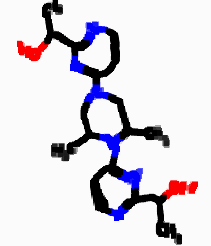 CC(O)c1nccc(N2CC(C)N(c3ccnc(C(C)O)n3)C(C)C2)n1